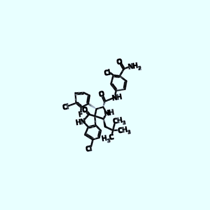 CC(C)(C)C[C@@H]1N[C@@H](C(=O)Nc2ccc(C(N)=O)c(Cl)c2)[C@@H](c2cccc(Cl)c2F)C12C(=O)Nc1cc(Cl)ccc12